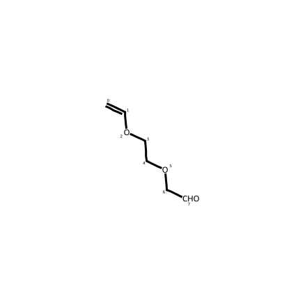 C=COCCOCC=O